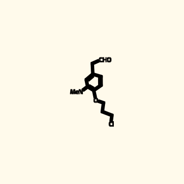 CNc1cc(CC=O)ccc1OCCCCl